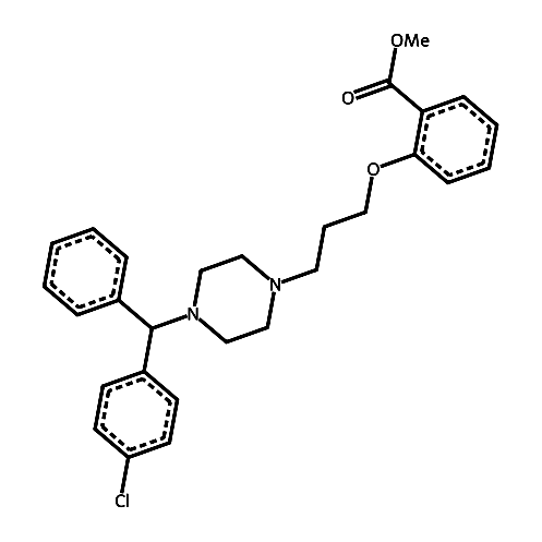 COC(=O)c1ccccc1OCCCN1CCN(C(c2ccccc2)c2ccc(Cl)cc2)CC1